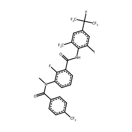 CN(C(=O)c1ccc(C(F)(F)F)cc1)c1cccc(C(=O)Nc2c(I)cc(C(F)(C(F)(F)F)C(F)(F)F)cc2C(F)(F)F)c1F